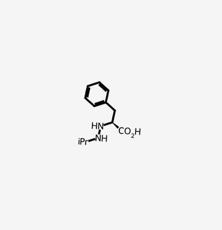 CC(C)NN[C@@H](Cc1ccccc1)C(=O)O